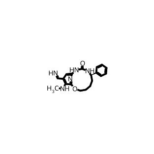 CNc1c(C=N)cc2nc1OCCCC[C@H](c1ccccc1)NC(=O)N2